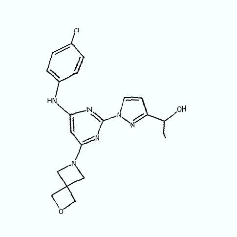 CC(O)c1ccn(-c2nc(Nc3ccc(Cl)cc3)cc(N3CC4(COC4)C3)n2)n1